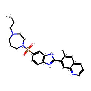 COCCN1CCCN(S(=O)(=O)c2ccc3nc(-c4cc5ncccc5cc4C)[nH]c3c2)CC1